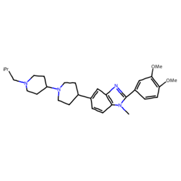 COc1ccc(-c2nc3cc(C4CCN(C5CCN(CC(C)C)CC5)CC4)ccc3n2C)cc1OC